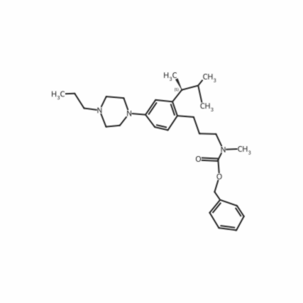 CCCN1CCN(c2ccc(CCCN(C)C(=O)OCc3ccccc3)c([C@@H](C)C(C)C)c2)CC1